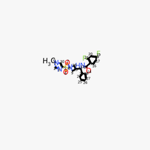 Cn1cnc(S(=O)(=O)N2CC(C(NC(=O)c3ccc(F)cc3F)c3ccccc3)C2)c1